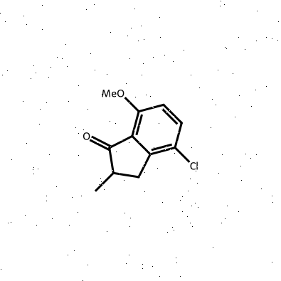 COc1ccc(Cl)c2c1C(=O)C(C)C2